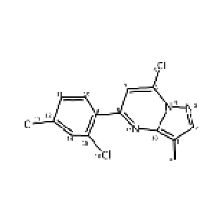 Cc1cnn2c(Cl)cc(-c3ccc(Cl)cc3Cl)nc12